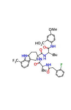 CCC(C)C(NC(=O)Cc1ccccc1F)C(=O)NC1(C(=O)NC(C(=O)Nc2ccc(OC)cc2C(=O)O)C(C)CC)CCc2[nH]c3c(C(F)(F)F)cccc3c2C1